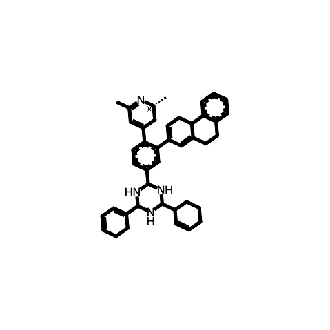 CC1=N[C@H](C)CC(c2ccc(C3NC(C4=CC=CCC4)NC(C4C=CCCC4)N3)cc2C2=CCC3C(=C2)CCc2ccccc23)=C1